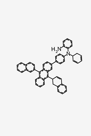 Nc1ccccc1N(c1ccc(-c2ccc3c(-c4ccc5ccccc5c4)c4ccccc4c(C4C=Cc5ccccc5C4)c3c2)cc1)C1C=CC=CC1